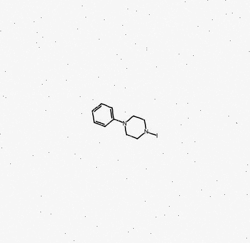 IN1CCN(c2ccccc2)CC1